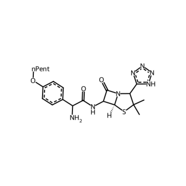 CCCCCOc1ccc(C(N)C(=O)NC2C(=O)N3C(c4nnn[nH]4)C(C)(C)S[C@@H]23)cc1